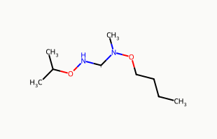 CCCCON(C)[CH]NOC(C)C